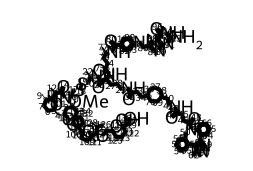 CO[C@@H]1C[C@@H](C[C@H]2CC[C@H](C)C([C@@H](C)C(=O)NCCSSC[C@@H](C)NC(=O)C(CCCNC(=O)CCC3CCCC(CCNC(=O)CCC(=O)N4Cc5ccccc5-c5c(nnn5C)-c5ccccc54)CC3)NC(=O)CC[C@@H](C)NC(=O)c3ccc(NCc4cnc5nc(N)[nH]c(=O)c5n4)cc3)O2)O[C@]2(O[C@@](C)(C3CC[C@@](C)([C@@H]4O[C@@H]([C@@H]5O[C@@](O)(CO)[C@H](C)C[C@@H]5C)C[C@@H]4C)O3)C[C@H]2C)[C@@H]1C